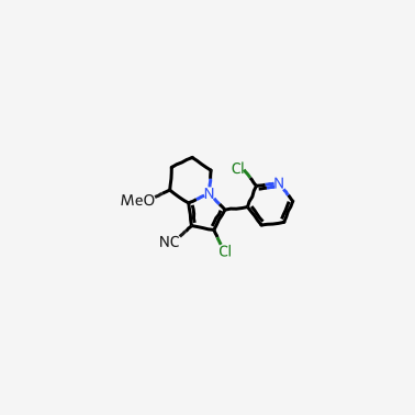 COC1CCCn2c(-c3cccnc3Cl)c(Cl)c(C#N)c21